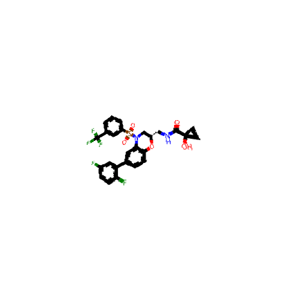 O=C(NC[C@H]1CN(S(=O)(=O)c2cccc(C(F)(F)F)c2)c2cc(-c3cc(F)ccc3F)ccc2O1)C1(O)CC1